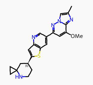 COc1cc(-c2cnc3cc([C@H]4CCNC5(CC5)C4)sc3c2)nn2cc(C)nc12